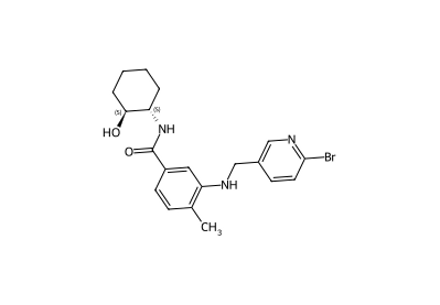 Cc1ccc(C(=O)N[C@H]2CCCC[C@@H]2O)cc1NCc1ccc(Br)nc1